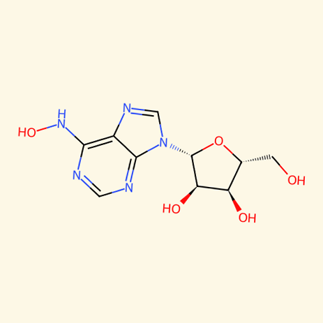 OC[C@H]1O[C@@H](n2cnc3c(NO)ncnc32)[C@H](O)[C@@H]1O